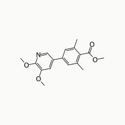 COC(=O)c1c(C)cc(-c2cnc(OC)c(OC)c2)cc1C